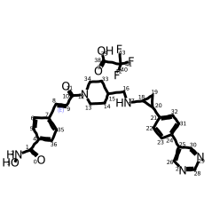 O=C(NO)c1ccc(/C=C/C(=O)N2CCC(CNC3CC3c3ccc(-c4cncnc4)cc3)CC2)cc1.O=C(O)C(F)(F)F